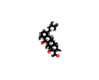 CC(=O)C1=C(C)CC2(C)CC3(C)Cc4c(CCC(C)C(C)C)ccc(C)c4C(=O)C3=C(C)C2(C)C1=O